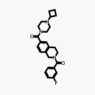 O=C(c1ccc2c(c1)CCN(C(=O)c1cccc(F)c1)C2)N1CCN(C2CCC2)CC1